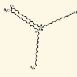 CCCCCCCCCCCCCCCCP(=S)(CCCCCCCCCCCCCCCC)NP(=S)(CCCCCCCCCCCCCCCC)CCCCCCCCCCCCCCCC